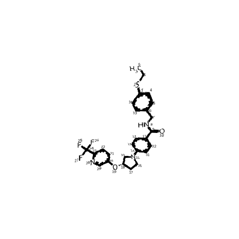 CCSc1ccc(CNC(=O)c2ccc(N3CC[C@H](Oc4ccc(C(F)(F)F)nc4)C3)cc2)cc1